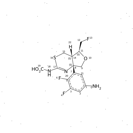 Nc1cc(F)c(F)c([C@]23CO[C@H](CF)[C@H]2CSC(NC(=O)O)=N3)c1